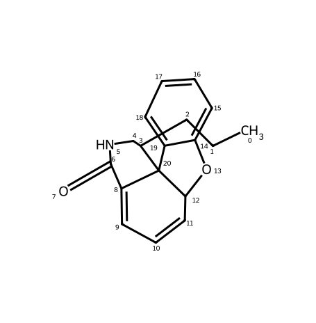 CCCC1CNC(=O)C2=CC=CC3Oc4ccccc4C213